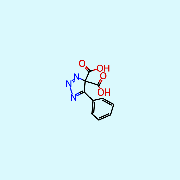 O=C(O)C1(C(=O)O)N=NN=C1c1ccccc1